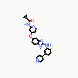 Cn1c(Nc2cc(-c3ccncc3)ccc2F)nc2cc(Oc3ccnc(NC(=O)C4CC4)c3)ccc21